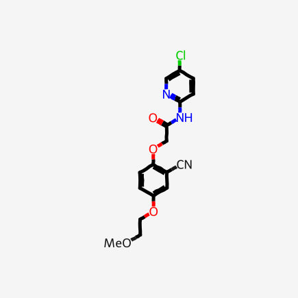 COCCOc1ccc(OCC(=O)Nc2ccc(Cl)cn2)c(C#N)c1